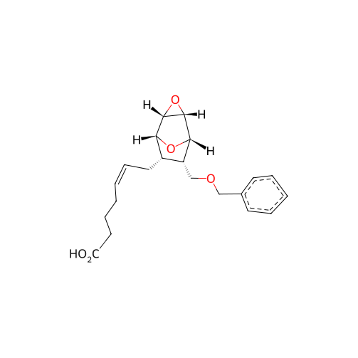 O=C(O)CCC/C=C\C[C@H]1[C@@H](COCc2ccccc2)[C@@H]2O[C@H]1[C@@H]1O[C@@H]12